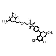 CN1Cc2c(Cl)cc(Cl)cc2C(c2ccc(S(=O)(=O)NCCOCCC(CC(N)=O)C(N)=O)cc2)C1